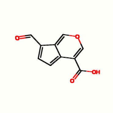 O=Cc1ccc2c(C(=O)O)cocc1-2